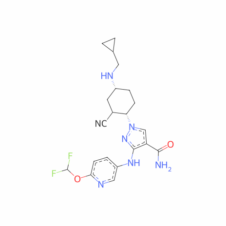 N#CC1C[C@H](NCC2CC2)CC[C@@H]1n1cc(C(N)=O)c(Nc2ccc(OC(F)F)nc2)n1